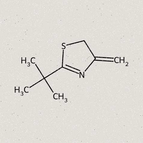 C=C1CSC(C(C)(C)C)=N1